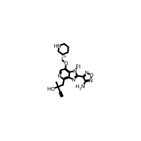 C#CC(C)(O)Cc1ncc(OC[C@H]2CCCNC2)c2c1nc(-c1nonc1N)n2CC